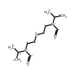 CC(C)N(C=O)CCOCCN(C=O)C(C)C